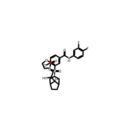 O=C(Nc1ccc(F)c(F)c1)c1ccc(Cl)c(S(=O)(=O)[C@H]2CC3CCC(C2)[C@@]3(O)C(O)CN2CCOC2=O)c1